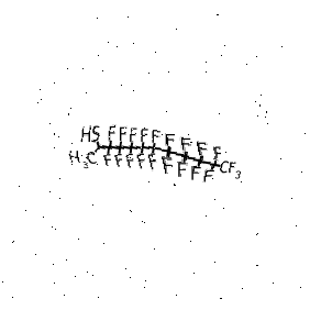 CC(S)C(F)(F)C(F)(F)C(F)(F)C(F)(F)C(F)(F)C(F)(F)C(F)(F)C(F)(F)C(F)(F)C(F)(F)F